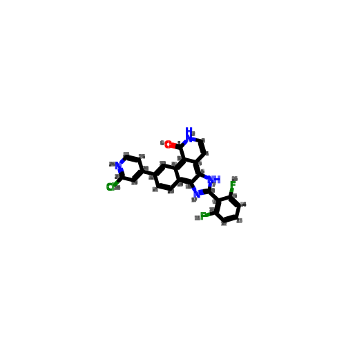 O=c1[nH]ccc2c3[nH]c(-c4c(F)cccc4F)nc3c3ccc(-c4ccnc(Cl)c4)cc3c12